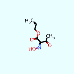 C=CCOC(=O)/C(=N\O)C(C)=O